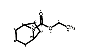 CCOC(=O)N1C2CCCC1CC2